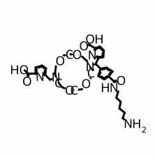 NCCCCCCNC(=O)c1ccc(C(c2cccc(C(=O)O)n2)N2CCOCCOCCN(Cc3cccc(C(=O)O)n3)CCOCCOCC2)cc1